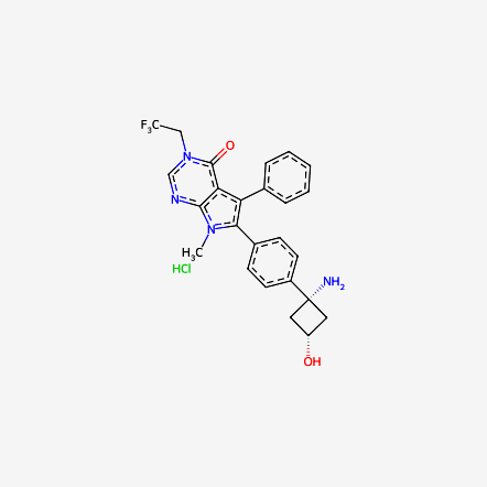 Cl.Cn1c(-c2ccc([C@]3(N)C[C@@H](O)C3)cc2)c(-c2ccccc2)c2c(=O)n(CC(F)(F)F)cnc21